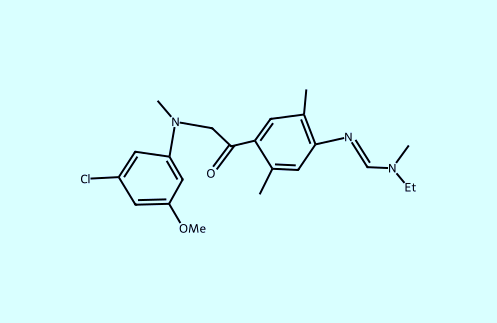 CCN(C)C=Nc1cc(C)c(C(=O)CN(C)c2cc(Cl)cc(OC)c2)cc1C